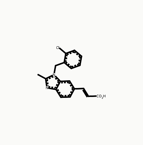 Cc1nc2ccc(C=CC(=O)O)cc2n1Cc1ccccc1Cl